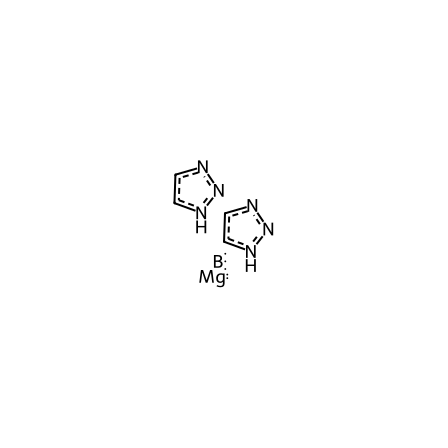 [B].[Mg].c1c[nH]nn1.c1c[nH]nn1